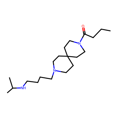 CCCC(=O)N1CCC2(CCN(CCCCNC(C)C)CC2)CC1